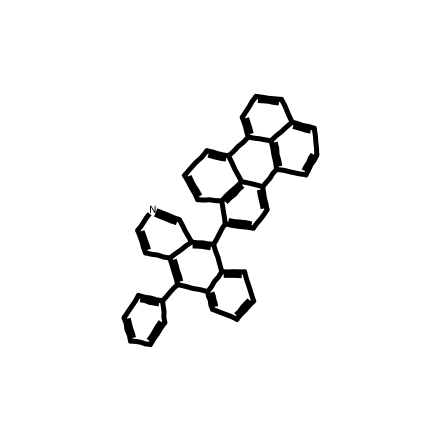 c1ccc(-c2c3ccccc3c(-c3ccc4c5cccc6cccc(c7cccc3c74)c65)c3cnccc23)cc1